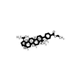 C=C(C)[C@@H]1CCC2(N)CC[C@]3(C)[C@H](CC[C@@H]4[C@@]5(C)CC=C(C6=CCC(C(=O)OCC)CC6)C(C)(C)[C@@H]5CC[C@]43C)[C@@H]12